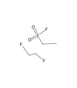 CCS(=O)(=O)F.FCCF